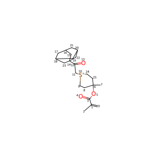 C=C(C)C(=O)OC1(C)CC[S+](CC(=O)C23CC4CC(CC(C4)C2)C3)CC1